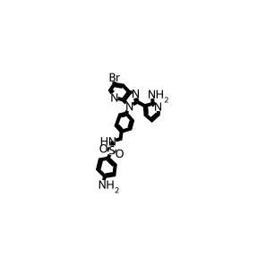 Nc1ccc(S(=O)(=O)NCc2ccc(-n3c(-c4cccnc4N)nc4cc(Br)cnc43)cc2)cc1